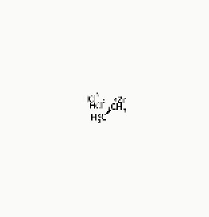 CC.Cl.Cl.[Zr]